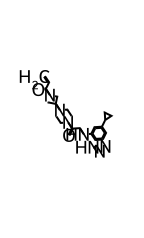 C=CC(=O)N1CC(N2CCN(C(=O)CNc3cc(C4CC4)cc4nn[nH]c34)CC2)C1